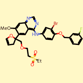 CCS(=O)(=O)CCOCC1(c2cc3c(Nc4ccc(OCc5cccc(F)c5)c(Br)c4)ncnc3cc2OC)CC=CO1